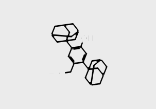 CCc1cc(C23CC4CC(CC(C4)C2)C3)c(O)cc1C12CC3CC(CC(C3)C1)C2